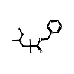 CCC(C)CC(C)(C)C(=O)OCc1ccccc1